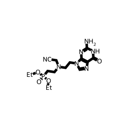 CCOP(=O)(CCN(CC#N)CCn1cnc2c(=O)[nH]c(N)nc21)OCC